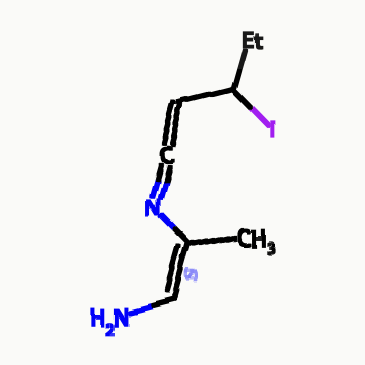 CCC(I)C=C=N/C(C)=C\N